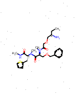 CC[C@@H](N)COCC(=O)[N+](C)=C(COCc1ccccc1)C(=O)N(C)[C@H](Cc1cccs1)C(=O)NC